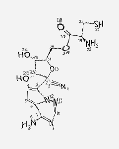 N#C[C@@]1(c2ccc3c(N)ncnn23)O[C@H](COC(=O)[C@H](N)CS)[C@@H](O)[C@H]1O